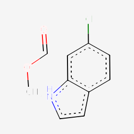 COC=O.Clc1ccc2cc[nH]c2c1